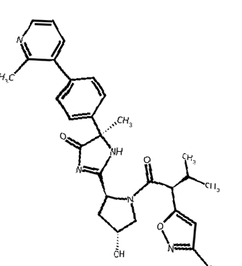 Cc1cc([C@@H](C(=O)N2C[C@H](O)C[C@H]2C2=NC(=O)[C@@](C)(c3ccc(-c4cccnc4C)cc3)N2)C(C)C)on1